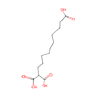 O=C(O)CCCCCCCCCC(C(=O)O)C(=O)O